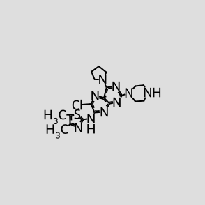 Cc1nc(Nc2nc3nc(N4CCNCC4)nc(N4CCCC4)c3nc2Cl)sc1C